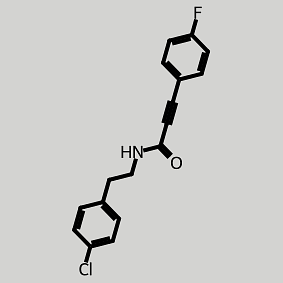 O=C(C#Cc1ccc(F)cc1)NCCc1ccc(Cl)cc1